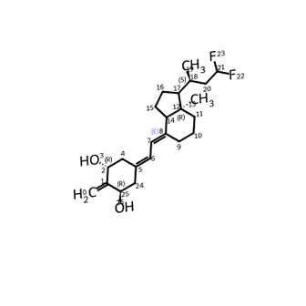 C=C1[C@H](O)CC(=C/C=C2\CCC[C@@]3(C)C2CCC3[C@@H](C)CC(F)F)C[C@H]1O